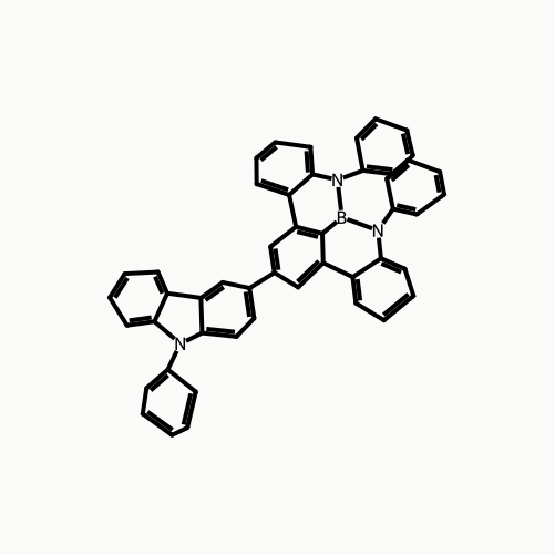 c1ccc(N2B3c4c(cc(-c5ccc6c(c5)c5ccccc5n6-c5ccccc5)cc4-c4ccccc4N3c3ccccc3)-c3ccccc32)cc1